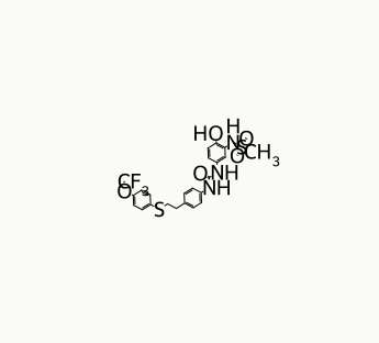 CS(=O)(=O)Nc1cc(NC(=O)Nc2ccc(CCSc3ccc(OC(F)(F)F)cc3)cc2)ccc1O